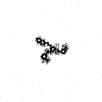 O=C(Nc1cc(CC=Cc2cc3ccccc3cn2)cc(NC(=O)c2cccc(C(F)(F)F)c2)c1)c1cccc(C(F)(F)F)c1